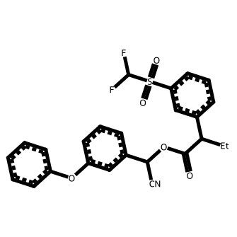 CCC(C(=O)OC(C#N)c1cccc(Oc2ccccc2)c1)c1cccc(S(=O)(=O)C(F)F)c1